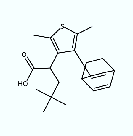 Cc1sc(C)c(C(CC(C)(C)C)C(=O)O)c1C1=CC2C=CC1CC2